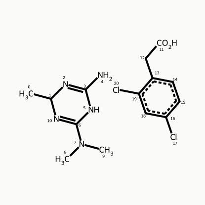 CC1N=C(N)NC(N(C)C)=N1.O=C(O)Cc1ccc(Cl)cc1Cl